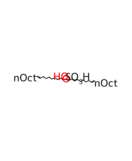 CCCCCCCC/C=C/CCCCCCCCOCCCCCCCC/C=C/CCCCCCCC.O=S(=O)(O)O